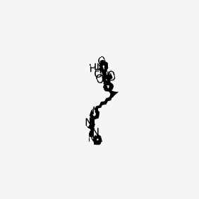 O=C1CCC(N2C(=O)c3ccc(C4CC4CCCCCCN4CCC(n5cc(-c6cnc7ccccc7n6)cn5)CC4)cc3C2=O)C(=O)N1